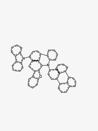 c1ccc(-c2cccc3cccc(-c4ccc(N(c5ccccc5-c5ccc(-n6c7ccccc7c7ccccc76)cc5)c5cccc6c5oc5ccccc56)cc4)c23)cc1